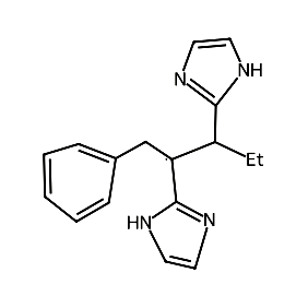 CCC([C](Cc1ccccc1)c1ncc[nH]1)c1ncc[nH]1